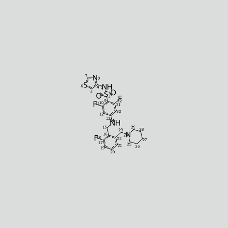 O=S(=O)(Nc1cscn1)c1c(F)cc(NCc2c(F)cccc2CN2CCCCC2)cc1F